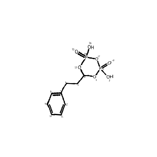 O=P1(O)OC(CCc2ccccc2)OP(=O)(O)O1